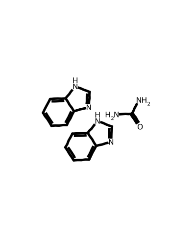 NC(N)=O.c1ccc2[nH]cnc2c1.c1ccc2[nH]cnc2c1